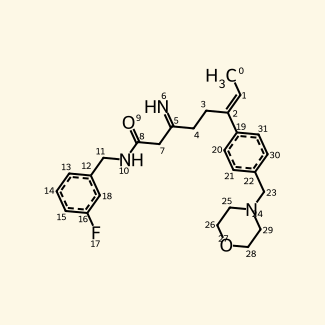 C/C=C(\CCC(=N)CC(=O)NCc1cccc(F)c1)c1ccc(CN2CCOCC2)cc1